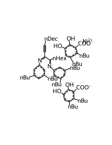 CCCCCCCCCCC#CC(=Nc1cc(CCCC)cc(CCCC)c1)C(CCCCCC)=Nc1cc(CCCC)cc(CCCC)c1.CCCCc1cc(O)c(O)c(C(=O)[O-])c1CCCC.CCCCc1cc(O)c(O)c(C(=O)[O-])c1CCCC.[Ni+2]